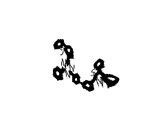 c1ccc(-c2nc(-c3ccc(-c4cccc(-c5nc6ccccc6c6c5sc5ccccc56)c4)cc3)nc(-c3cccc4c3sc3ccccc34)n2)cc1